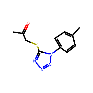 CC(=O)CSc1nnnn1-c1ccc(C)cc1